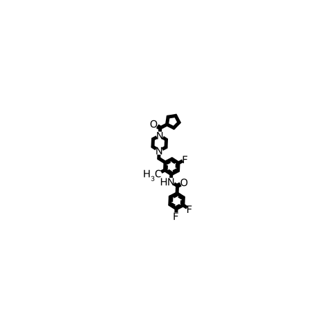 Cc1c(CN2CCN(C(=O)C3CCCC3)CC2)cc(F)cc1NC(=O)c1ccc(F)c(F)c1